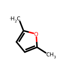 [CH2]c1ccc(C)o1